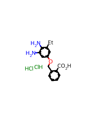 CCc1cc(OCc2ccccc2C(=O)O)cc(N)c1N.Cl.Cl